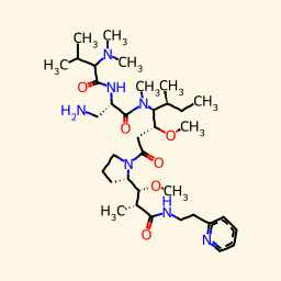 CC[C@H](C)[C@@H]([C@@H](CC(=O)N1CCC[C@H]1[C@H](OC)[C@@H](C)C(=O)NCCc1ccccn1)OC)N(C)C(=O)[C@H](CN)NC(=O)C(C(C)C)N(C)C